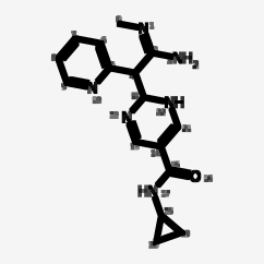 C/N=C(/N)C(c1ccccn1)C1N=CC(C(=O)NC2CC2)=CN1